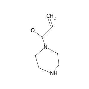 C=CC([O])N1CCNCC1